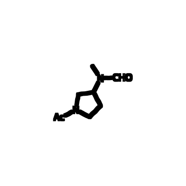 CC(=O)N1CCC(N(C)C=O)C1